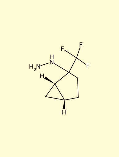 NNC1(C(F)(F)F)CC[C@@H]2C[C@@H]21